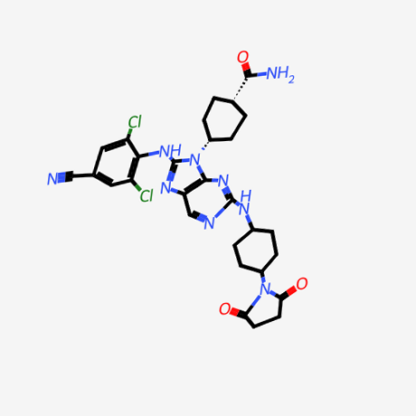 N#Cc1cc(Cl)c(Nc2nc3cnc(NC4CCC(N5C(=O)CCC5=O)CC4)nc3n2[C@H]2CC[C@@H](C(N)=O)CC2)c(Cl)c1